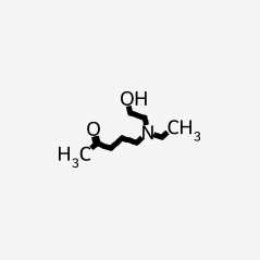 CCN(CCO)CCCC(C)=O